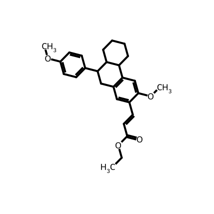 CCOC(=O)C=Cc1cc2c(cc1OC)C1CCCCC1C(c1ccc(OC)cc1)C2